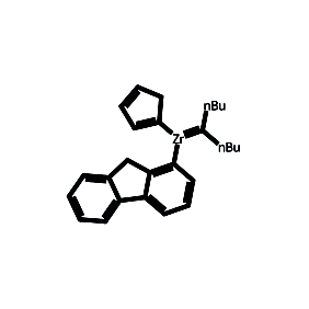 CCCC[C](CCCC)=[Zr]([C]1=CC=CC1)[c]1cccc2c1Cc1ccccc1-2